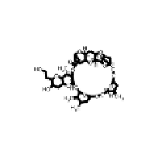 C=C1C(C)CC2CC[C@@H]3OC(CC[C@@]45CC6OC7C(O4)[C@H]4OC(CCC4O[C@H]7C6O5)CC(=O)OC4[C@@H](C)C5OC(CCO)C(O)CC5O[C@H]4CC1O2)CC3=C